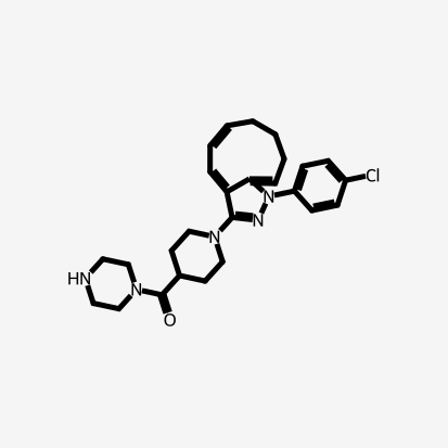 O=C(C1CCN(c2nn(-c3ccc(Cl)cc3)c3/c2=C\C=C/CCC/C=3)CC1)N1CCNCC1